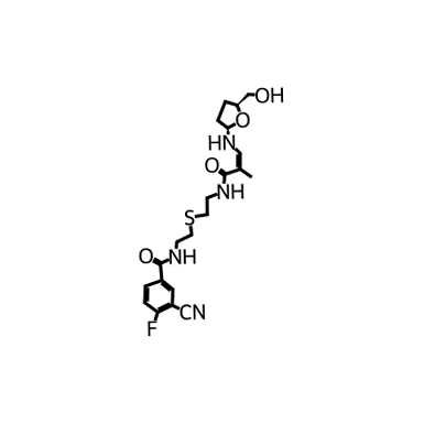 C/C(=C/N[C@H]1CC[C@@H](CO)O1)C(=O)NCCSCCNC(=O)c1ccc(F)c(C#N)c1